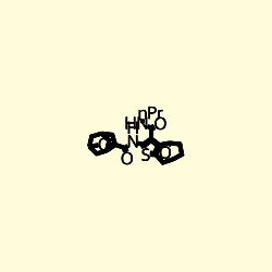 CCCNC(=O)c1c(NC(=O)C23CC4CC(CC2C4)C3)sc2c1C1CCC(C2)O1